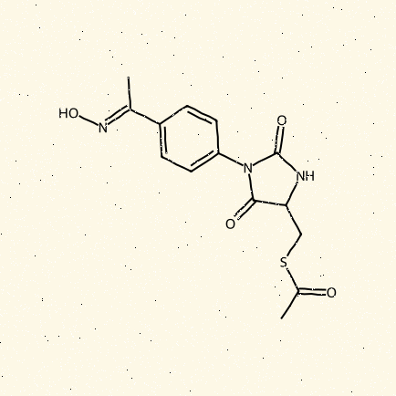 CC(=O)SCC1NC(=O)N(c2ccc(C(C)=NO)cc2)C1=O